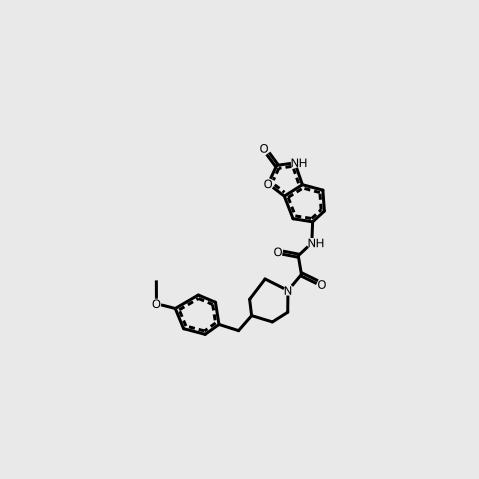 COc1ccc(CC2CCN(C(=O)C(=O)Nc3ccc4[nH]c(=O)oc4c3)CC2)cc1